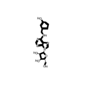 OC[C@H]1O[C@@H](n2cnc3c(NCc4cccc(O)c4)ncnc32)[C@@H](O)[C@@H]1O